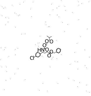 CC(C)C(=O)OCOC(=O)NC(CCC(=O)OCc1ccccc1)c1ccc(Cl)cc1